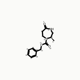 C[C@@H]1CNC(=O)CCN1C(=O)OCc1ccccc1